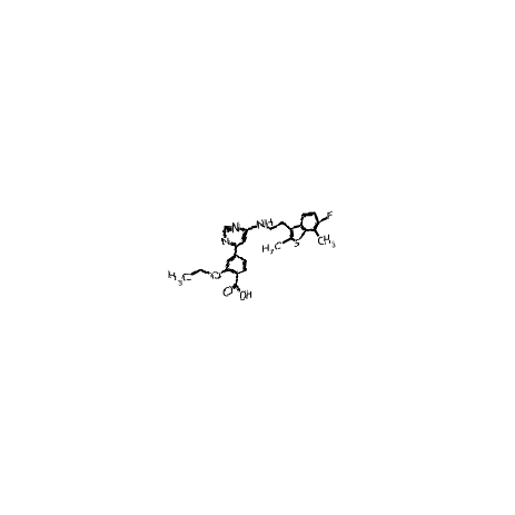 CCOc1cc(-c2cc(NCCc3c(C)sc4c(C)c(F)ccc34)ncn2)ccc1C(=O)O